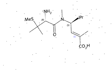 CSC(C)(C)[C@H](N)C(=O)N(C)[C@H](/C=C(\C)C(=O)O)C(C)C